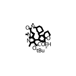 Cc1nc2c(cc(C(=O)N(C)C3CCCCC3)n2C)c(-c2cc(F)c3c(c2C)CCCO3)c1[C@H](OC(C)(C)C)C(=O)O